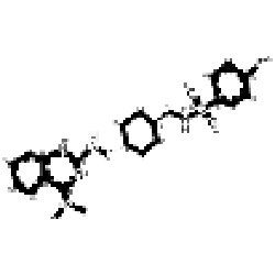 CN(C)c1nc(NC[C@H]2CC[C@H](CNS(=O)(=O)c3ccc(F)cc3)CC2)nc2ccccc12